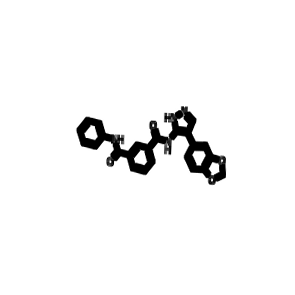 O=C(Nc1ccccc1)c1cccc(C(=O)Nc2[nH]ncc2-c2ccc3c(c2)OCO3)c1